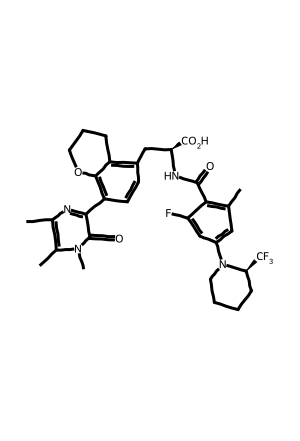 Cc1cc(N2CCCC[C@@H]2C(F)(F)F)cc(F)c1C(=O)N[C@@H](Cc1ccc(-c2nc(C)c(C)n(C)c2=O)c2c1CCCO2)C(=O)O